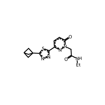 CCNC(=O)Cn1nc(-c2nnc(C34CC(C3)C4)s2)ccc1=O